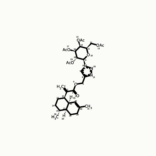 C=C(C(=O)OCc1cn([C@@H]2O[C@H](COC(C)=O)[C@H](OC(C)=O)[C@H](OC(C)=O)[C@H]2OC(C)=O)nn1)[C@@H]1CC[C@@H](C)[C@@H]2CCC(C)=C[C@@H]21